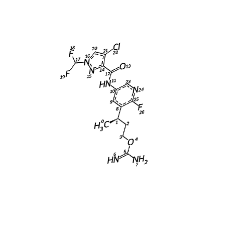 C[C@H](CCOC(=N)N)c1cc(NC(=O)c2nn(C(F)F)cc2Cl)cnc1F